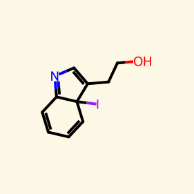 OCCC1=CN=C2C=CC=CC12I